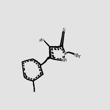 CCCCc1c(-c2cccc(C)c2)[nH]n(CCC)c1=O